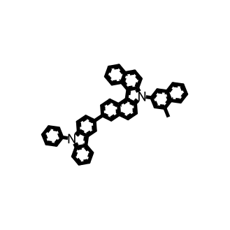 Cc1cc(-n2c3ccc4ccccc4c3c3c4ccc(-c5ccc6c(c5)c5ccccc5n6-c5ccccc5)cc4ccc32)cc2ccccc12